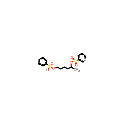 CC(CCCCOS(=O)(=O)c1ccccc1)OS(=O)(=O)c1ccccc1